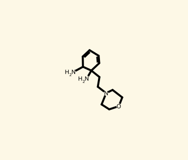 NC1C=CC=CC1(N)CCN1CCOCC1